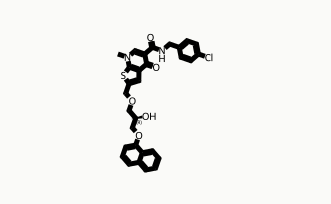 Cn1cc(C(=O)NCc2ccc(Cl)cc2)c(=O)c2cc(COC[C@@H](O)COc3cccc4ccccc34)sc21